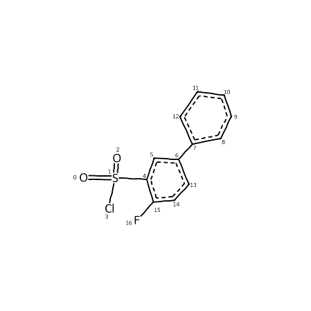 O=S(=O)(Cl)c1cc(-c2ccccc2)ccc1F